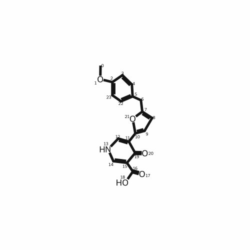 COc1ccc(Cc2ccc(-c3c[nH]cc(C(=O)O)c3=O)o2)cc1